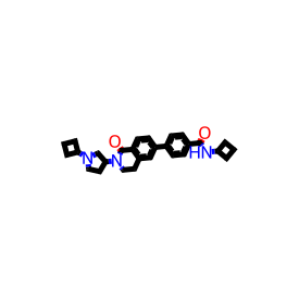 O=C(NC1CCC1)c1ccc(-c2ccc3c(c2)CCN(C2CCN(C4CCC4)C2)C3=O)cc1